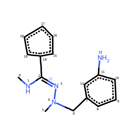 CN/C(=N\N(C)Cc1cccc(N)c1)c1ccccc1